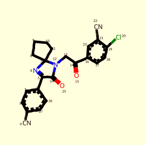 N#Cc1ccc(C2=NC3(CCCC3)N(CC(=O)c3ccc(Cl)c(C#N)c3)C2=O)cc1